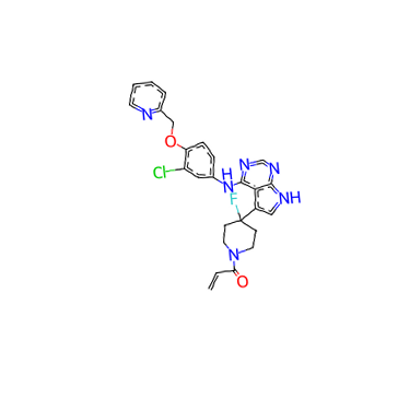 C=CC(=O)N1CCC(F)(c2c[nH]c3ncnc(Nc4ccc(OCc5ccccn5)c(Cl)c4)c23)CC1